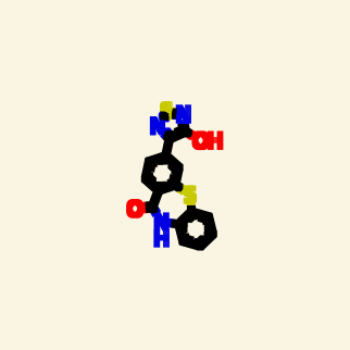 O=C1Nc2ccccc2Sc2cc(-c3nsnc3O)ccc21